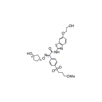 COCCCS(=O)(=O)c1ccc(/C(=N\O[C@@H]2CC[C@@H](O)C2)C(=O)Nc2nc3ccc(OCCO)cc3s2)cc1